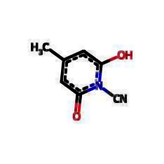 Cc1cc(O)n(C#N)c(=O)c1